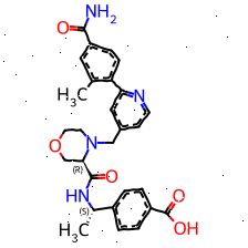 Cc1cc(C(N)=O)ccc1-c1cc(CN2CCOC[C@@H]2C(=O)N[C@@H](C)c2ccc(C(=O)O)cc2)ccn1